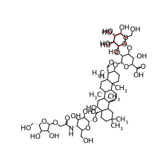 CC1(C)CC[C@]2(C(=O)O[C@@H]3OC(CO)[C@H](NC(=O)CO[C@@H]4O[C@@H](CO)C(O)C4O)C(O)C3O)C(O)C[C@]3(C)C(=CCC4C5(C)CC[C@H](O[C@@H]6OC(C(=O)O)[C@@H](O)[C@H](O[C@@H]7OC[C@@H](O)[C@H](O)C7O)C6O[C@@H]6OC(CO)[C@H](O)[C@H](O)C6O)[C@](C)(C=O)[C@@H]5CC[C@@]43C)C2C1